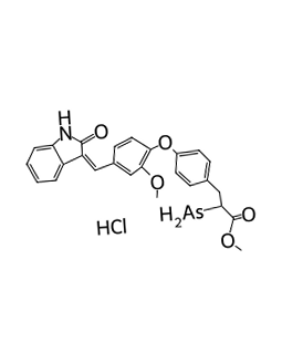 COC(=O)C([AsH2])Cc1ccc(Oc2ccc(C=C3C(=O)Nc4ccccc43)cc2OC)cc1.Cl